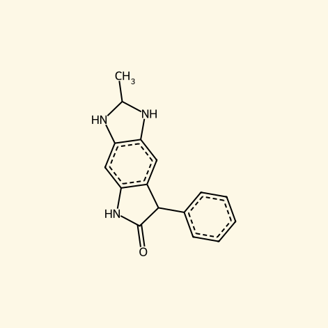 CC1Nc2cc3c(cc2N1)C(c1ccccc1)C(=O)N3